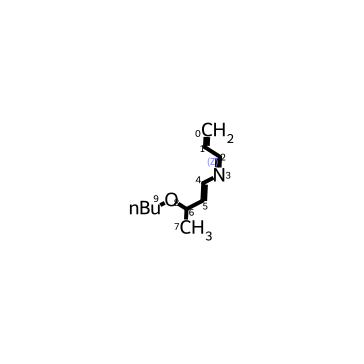 C=C/C=N\C=CC(C)OCCCC